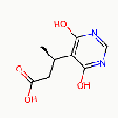 C[C@H](CC(=O)O)c1c(O)ncnc1O